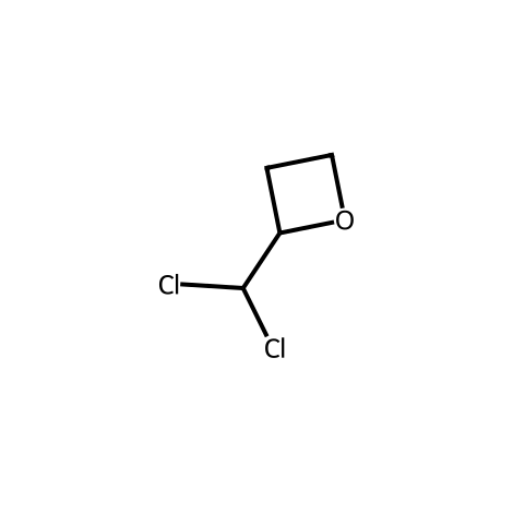 ClC(Cl)C1CCO1